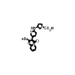 CCCCc1nc2ccccn2c(=O)c1-c1ccc(NC2CCN(C(=O)O)C2)nc1